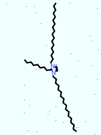 CCCCCCCCCCCCCCCCCCn1cc[n+](CCCCCCCCCCCCCCCCCC)c1CCCCCCCC